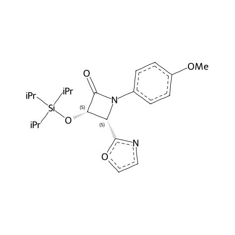 COc1ccc(N2C(=O)[C@@H](O[Si](C(C)C)(C(C)C)C(C)C)[C@H]2c2ncco2)cc1